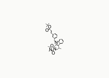 CC(=O)N(C)C(=O)N1Cc2c(c3ccccc3n2Cc2cccc(/C=C/C(=O)OC(C)(C)C)c2)C(C)C1